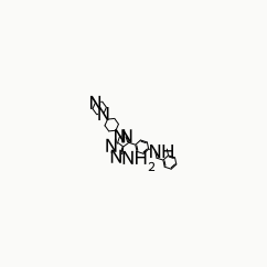 Cc1ccccc1CNc1ccc(-c2nn([C@H]3CC[C@@H](N4CCN(C)CC4)CC3)c3ncnc(N)c23)cc1